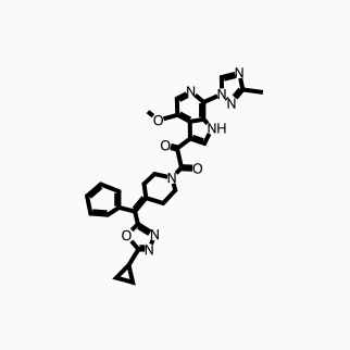 COc1cnc(-n2cnc(C)n2)c2[nH]cc(C(=O)C(=O)N3CCC(=C(c4ccccc4)c4nnc(C5CC5)o4)CC3)c12